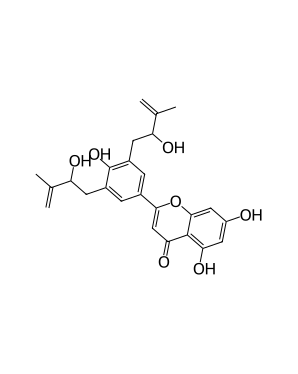 C=C(C)C(O)Cc1cc(-c2cc(=O)c3c(O)cc(O)cc3o2)cc(CC(O)C(=C)C)c1O